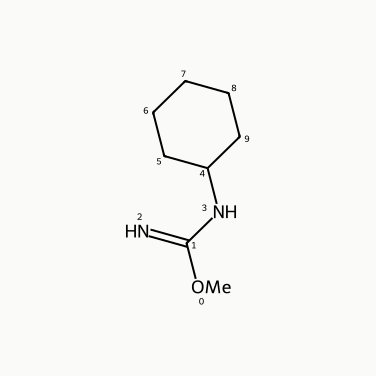 COC(=N)NC1CCCCC1